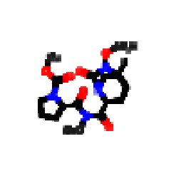 CON(C(=O)[C@@H]1CCCN1C(=O)OC(C)(C)C)C(=O)[C@@H]1CC[C@@H]2CN1C(=O)N2OS(=O)(=O)O